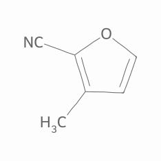 Cc1ccoc1C#N